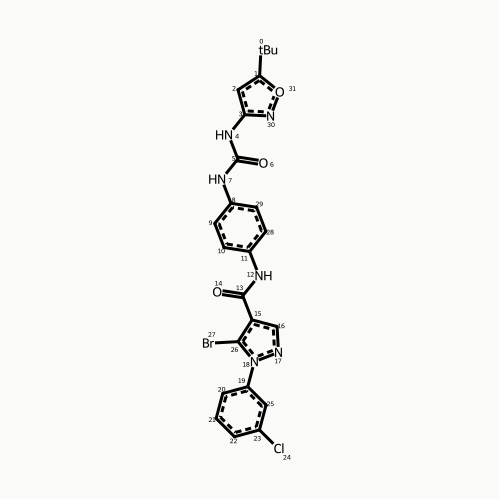 CC(C)(C)c1cc(NC(=O)Nc2ccc(NC(=O)c3cnn(-c4cccc(Cl)c4)c3Br)cc2)no1